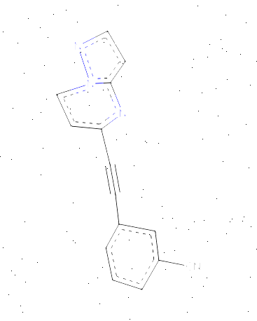 N#Cc1cccc(C#Cc2ccn3nccc3n2)c1